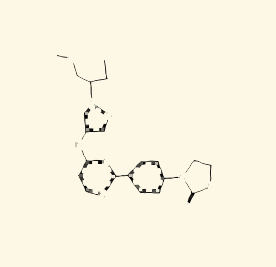 CCC(COC)n1cc(Nc2ccnc(-c3ccc(N4CCNC4=O)cc3)n2)cn1